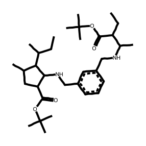 CCC(C)C1C(C)CC(C(=O)OC(C)(C)C)C1NCc1cccc(CNC(C)C(CC)C(=O)OC(C)(C)C)c1